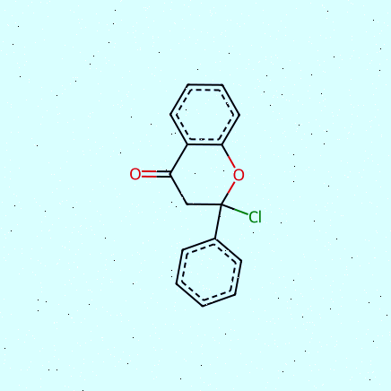 O=C1CC(Cl)(c2ccccc2)Oc2ccccc21